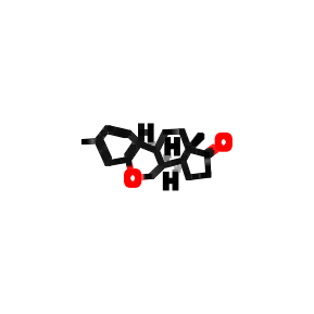 Cc1ccc2c(c1)OC[C@H]1[C@@H]2CC[C@]2(C)C(=O)CC[C@@H]12